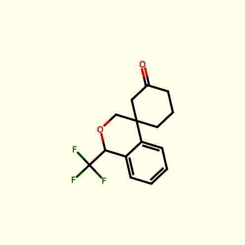 O=C1CCCC2(COC(C(F)(F)F)c3ccccc32)C1